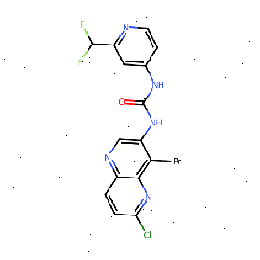 CC(C)c1c(NC(=O)Nc2ccnc(C(F)F)c2)cnc2ccc(Cl)nc12